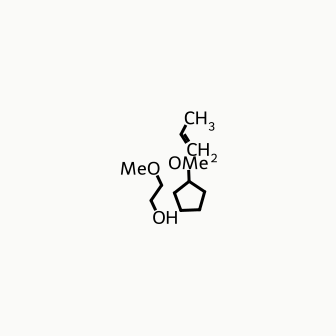 C=CC.COC1CCCC1.COCCO